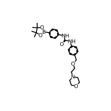 CC1(C)OB(c2ccc(NC(=O)Nc3ccc(COCCN4CCOCC4)cc3)cc2)OC1(C)C